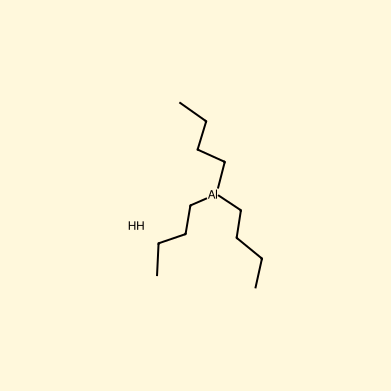 CCC[CH2][Al]([CH2]CCC)[CH2]CCC.[HH]